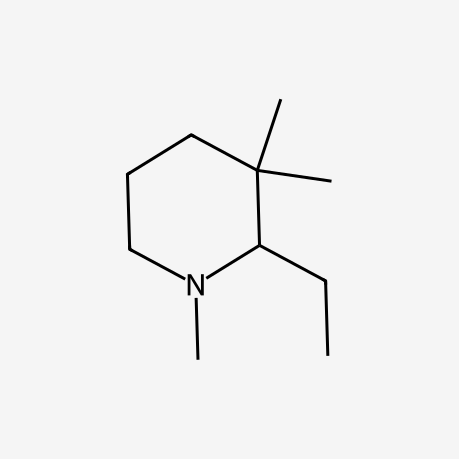 CCC1N(C)CCCC1(C)C